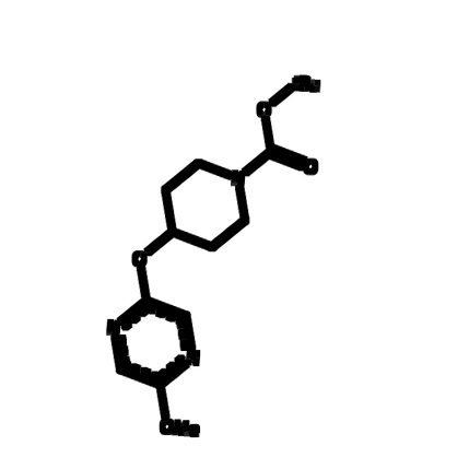 COc1cnc(OC2CCN(C(=O)OC(C)(C)C)CC2)cn1